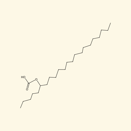 CCCCCCCCCCCCCCCCC(CCCCC)OC(=O)O